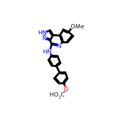 COc1ccc2nc(Nc3ccc(-c4ccc(OC(=O)O)cc4)cc3)c3n[nH]cc3c2c1